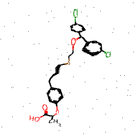 CC(Oc1ccc(CCCSCCOC(c2ccc(Cl)cc2)c2ccc(Cl)cc2)cc1)C(=O)O